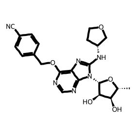 C[C@H]1O[C@@H](n2c(N[C@@H]3CCOC3)nc3c(OCc4ccc(C#N)cc4)ncnc32)[C@H](O)[C@@H]1O